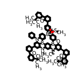 CSN1c2cc3c(cc2B2c4cc5c(cc4Oc4cc(-c6cccc7c6oc6c(C(C)(C)C)cccc67)cc1c42)N(SC)c1cc(-c2cccc4c2oc2c(C(C)(C)C)cccc24)cc2c1B5c1ccccc1O2)B1c2ccccc2N(c2ccccc2)c2cc(-c4cccc5c4oc4c(C(C)(C)C)cccc45)cc(c21)N3